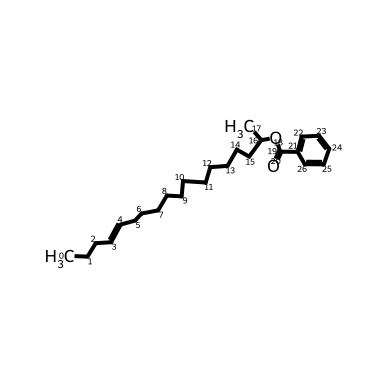 CCC/C=C/CCCCCCCCCCCC(C)OC(=O)c1ccccc1